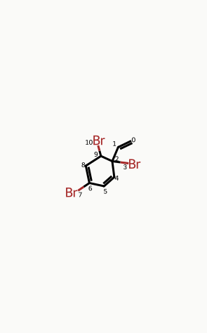 C=CC1(Br)C=CC(Br)=CC1Br